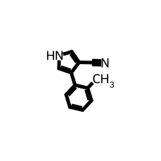 Cc1ccccc1-c1c[nH]cc1C#N